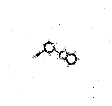 N#Cc1ccnc(-c2nc3ccccc3o2)c1